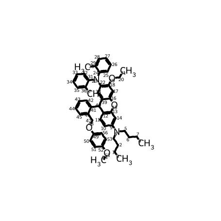 CCCCN(CCCC)c1ccc2c(c1)Oc1cc(OCC)c(N(c3ccccc3C)c3ccccc3C)cc1C2c1ccccc1COc1ccc(OC)cc1